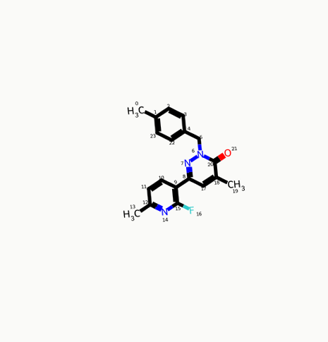 Cc1ccc(Cn2nc(-c3ccc(C)nc3F)cc(C)c2=O)cc1